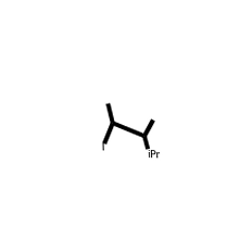 CC(C)C(C)C(C)I